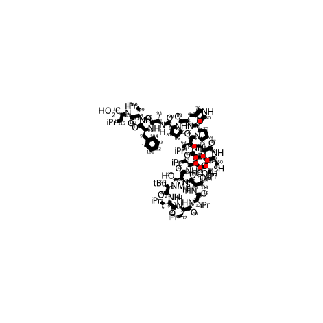 CN[C@H](C(=O)N[C@@H](CC(C)C)C(=O)N[C@@H](CC(C)C)C(=O)N[C@H](C(=O)N[C@H](C(=O)N[C@@H](CO)C(=O)N[C@@H](CC(C)C)C(=O)N[C@@H](CC(C)C)C(=O)N[C@@H](CC(C)C)C(=O)N[C@@H](CS)C(=O)N[C@@H](CCC(=O)O)C(=O)N[C@@H](CC(C)C)C(=O)N1CCC[C@H]1C(=O)N[C@@H](Cc1c[nH]cn1)C(=O)N1CCC[C@H]1C(=O)N[C@@H](C)C(=O)N[C@@H](Cc1ccccc1)C(=O)N[C@@H](CC(C)C)C(=O)N[C@@H](CC(C)C)C(=O)O)[C@@H](C)O)C(C)C)C(C)(C)C